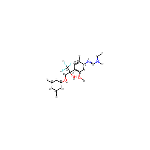 CCN(C)C=Nc1cc(OC)c(C(O)(COC2CC(C)CC(C)C2)C(F)(F)F)cc1C